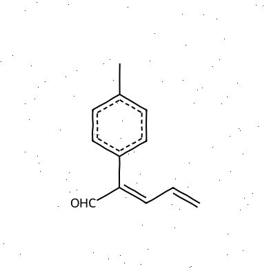 C=C/C=C(/C=O)c1ccc(C)cc1